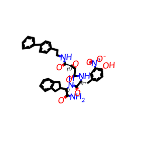 NC(=O)[C@H](NC(=O)[C@@H](Cc1ccc(O)c([N+](=O)[O-])c1)NC(=O)C1O[C@@H]1C(=O)NCCc1ccc(-c2ccccc2)cc1)C1Cc2ccccc2C1